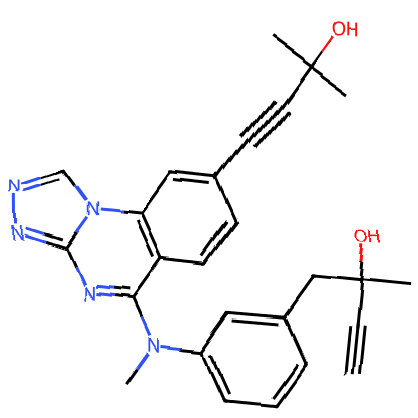 C#CC(C)(O)Cc1cccc(N(C)c2nc3nncn3c3cc(C#CC(C)(C)O)ccc23)c1